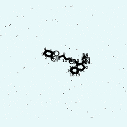 Clc1ccccc1OCCCCON=C1c2ccccc2CCC1n1cncn1